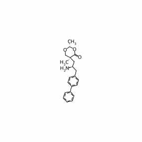 C[C@H]1OC[C@](C)(C[C@H](N)Cc2ccc(-c3ccccc3)cc2)C(=O)O1